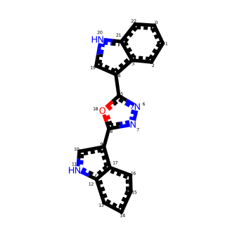 c1ccc2c(-c3nnc(-c4c[nH]c5ccccc45)o3)c[nH]c2c1